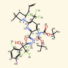 C=CCC1CC(C)(C)CN1c1nc(-c2nnc(C(O)(c3cc(I)ccc3F)C(F)(F)F)o2)c(N(C(=O)OC(C)(C)C)C(=O)OC(C)(C)C)cc1C(F)(F)F